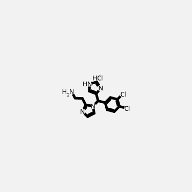 Cl.NCCc1nccn1C(c1ccc(Cl)c(Cl)c1)c1c[nH]cn1